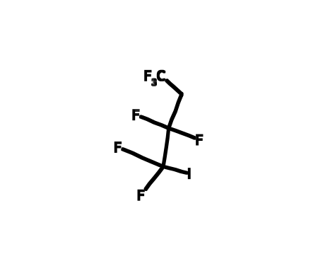 FC(F)(F)CC(F)(F)C(F)(F)I